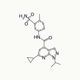 Cc1ccc(NC(=O)c2cc(C3CC3)nc3c2cnn3C(C)C)cc1S(N)(=O)=O